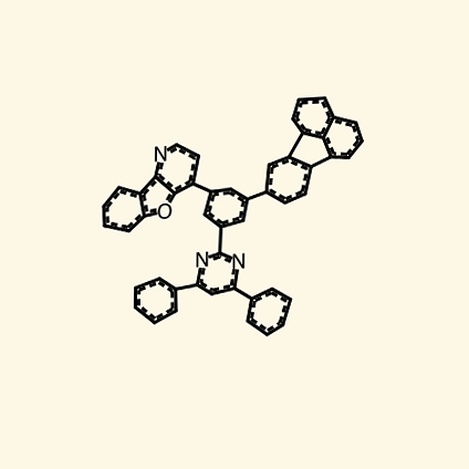 c1ccc(-c2cc(-c3ccccc3)nc(-c3cc(-c4ccc5c(c4)-c4cccc6cccc-5c46)cc(-c4ccnc5c4oc4ccccc45)c3)n2)cc1